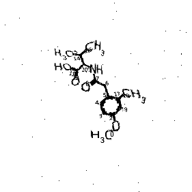 COc1ccc(CC(=O)NC(C(=O)O)C(C)C)c(C)c1